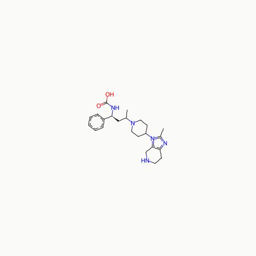 Cc1nc2c(n1C1CCN(C(C)C[C@H](NC(=O)O)c3ccccc3)CC1)CNCC2